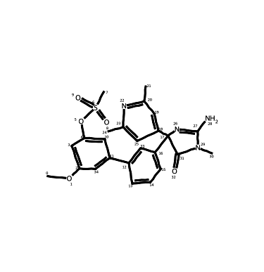 COc1cc(OS(C)(=O)=O)cc(-c2cccc(C3(c4cc(C)nc(C)c4)N=C(N)N(C)C3=O)c2)c1